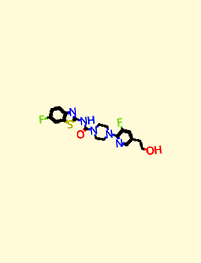 O=C(Nc1nc2ccc(F)cc2s1)N1CCN(c2ncc(CCO)cc2F)CC1